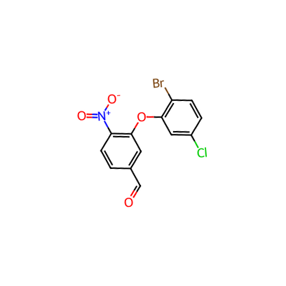 O=Cc1ccc([N+](=O)[O-])c(Oc2cc(Cl)ccc2Br)c1